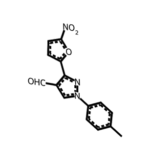 Cc1ccc(-n2cc(C=O)c(-c3ccc([N+](=O)[O-])o3)n2)cc1